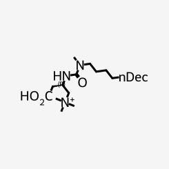 CCCCCCCCCCCCCCN(C)C(=O)N[C@H](CC(=O)O)C[N+](C)(C)C